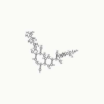 O.O.O.O.O.O.O.O.O.O=C([O-])C(=O)[O-].O=C([O-])C(=O)[O-].O=C([O-])C(=O)[O-].[La+3].[La+3]